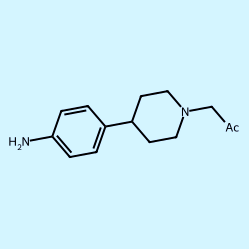 CC(=O)CN1CCC(c2ccc(N)cc2)CC1